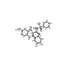 COc1ccc(OC)c(Nc2nc3cc(C)c(C)cc3nc2NS(=O)(=O)c2ccccc2)c1